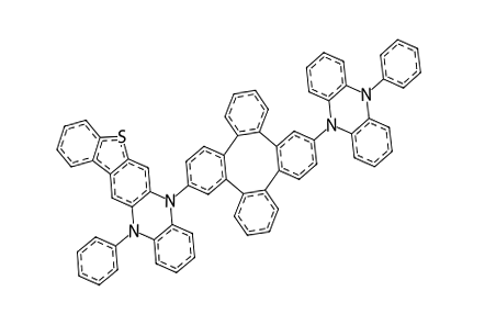 c1ccc(N2c3ccccc3N(c3ccc4c(c3)-c3ccccc3-c3ccc(N5c6ccccc6N(c6ccccc6)c6cc7c(cc65)sc5ccccc57)cc3-c3ccccc3-4)c3ccccc32)cc1